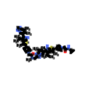 Cc1c(-c2[nH]c3sc([C@@H]4CC5CC4CN5CC(=O)N(C)Cc4nc5c(C)c(C)c(-c6[nH]c7sc([C@@H]8CC9CC8CN9CC(=O)NC8CC8)c(C)c7c6C(C)C)cn5n4)c(C)c3c2C(C)C)cn2ncnc2c1C